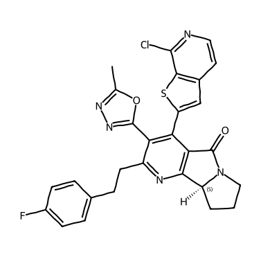 Cc1nnc(-c2c(CCc3ccc(F)cc3)nc3c(c2-c2cc4ccnc(Cl)c4s2)C(=O)N2CCC[C@@H]32)o1